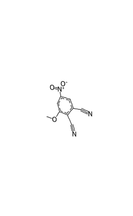 COc1cc([N+](=O)[O-])cc(C#N)c1C#N